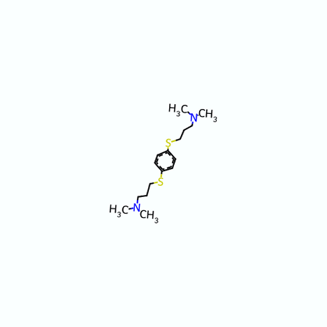 CN(C)CCCSc1ccc(SCCCN(C)C)cc1